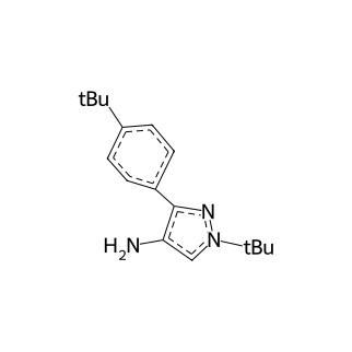 CC(C)(C)c1ccc(-c2nn(C(C)(C)C)cc2N)cc1